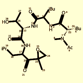 CCC(C)C(NC(=O)[C@H]([C@@H](C)CC)N(C)C(C)=O)C(=O)N[C@H](C(=O)NC(CC(C)C)C(=O)C1(C)CO1)C(C)O